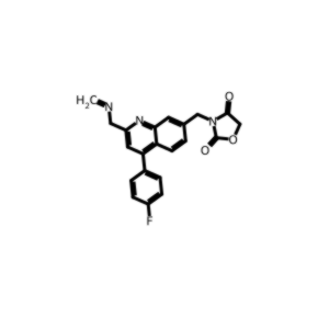 C=NCc1cc(-c2ccc(F)cc2)c2ccc(CN3C(=O)COC3=O)cc2n1